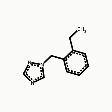 CCc1ccccc1Cn1cncn1